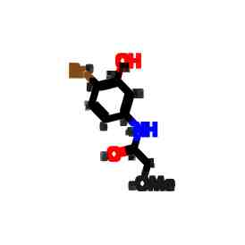 COCC(=O)Nc1ccc(Br)c(O)c1